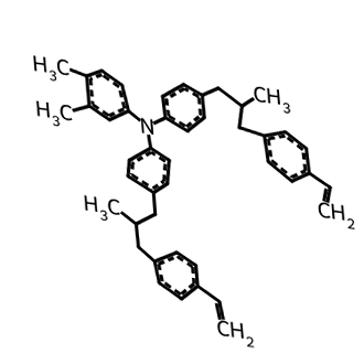 C=Cc1ccc(CC(C)Cc2ccc(N(c3ccc(CC(C)Cc4ccc(C=C)cc4)cc3)c3ccc(C)c(C)c3)cc2)cc1